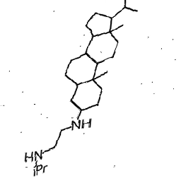 CCCCC(C)C1CCC2C3CCC4CC(NCCNC(C)C)CCC4(C)C3CCC12C